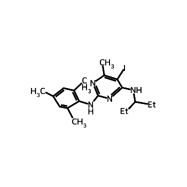 CCC(CC)Nc1nc(Nc2c(C)cc(C)cc2C)nc(C)c1I